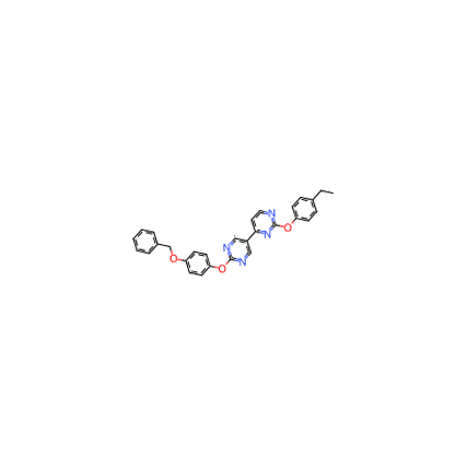 CCc1ccc(Oc2nccc(-c3[c]nc(Oc4ccc(OCc5ccccc5)cc4)nc3)n2)cc1